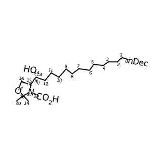 CCCCCCCCCCCCCCCCCCCCCC[C@@H](O)[C@@H]1COC(C)(C)N1C(=O)O